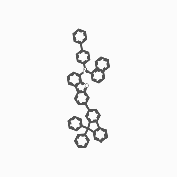 c1ccc(-c2ccc(N(c3cccc4ccccc34)c3cccc4c3oc3cc(-c5ccc6c(c5)C(c5ccccc5)(c5ccccc5)c5ccccc5-6)ccc34)cc2)cc1